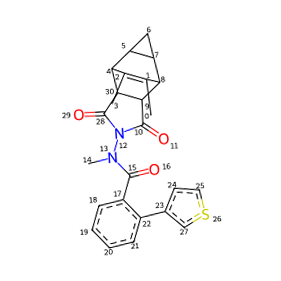 CC1=C(C)C2C3CC3C1C1C(=O)N(N(C)C(=O)c3ccccc3-c3ccsc3)C(=O)C21